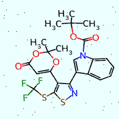 CC(C)(C)OC(=O)n1cc(-c2nsc(SC(F)(F)F)c2C2=CC(=O)OC(C)(C)O2)c2ccccc21